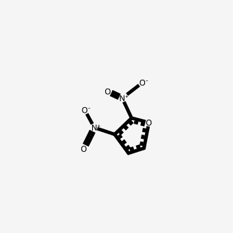 O=[N+]([O-])c1ccoc1[N+](=O)[O-]